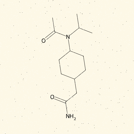 CC(=O)N(C(C)C)C1CCC(CC(N)=O)CC1